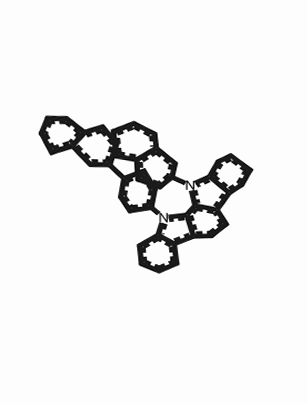 c1ccc2cc(-c3ccc(-n4c5ccccc5c5ccc6c7ccccc7n(-c7ccc8ccccc8c7)c6c54)cc3)ccc2c1